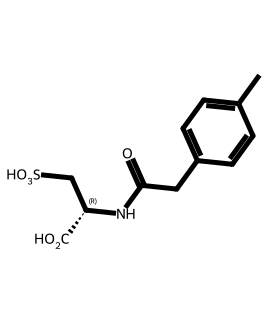 Cc1ccc(CC(=O)N[C@@H](CS(=O)(=O)O)C(=O)O)cc1